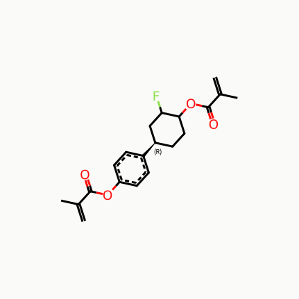 C=C(C)C(=O)Oc1ccc([C@@H]2CCC(OC(=O)C(=C)C)C(F)C2)cc1